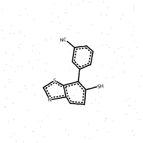 N#Cc1cccc(-c2c(S)ccc3ncsc23)c1